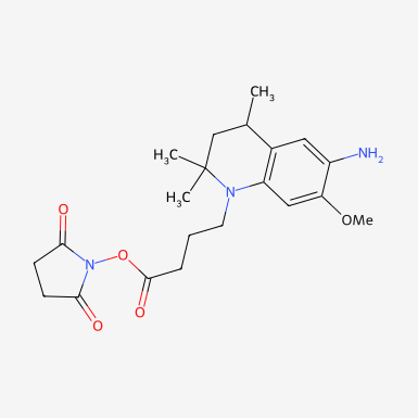 COc1cc2c(cc1N)C(C)CC(C)(C)N2CCCC(=O)ON1C(=O)CCC1=O